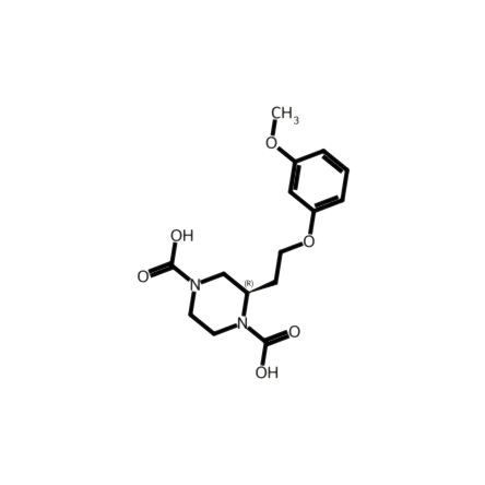 COc1cccc(OCC[C@@H]2CN(C(=O)O)CCN2C(=O)O)c1